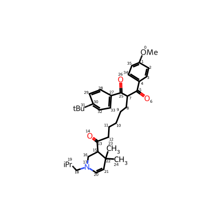 COc1ccc(C(=O)C(CCCCCC(=O)C2CN(CC(C)C)C=CC2(C)C)C(=O)c2ccc(C(C)(C)C)cc2)cc1